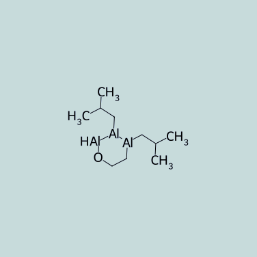 CC(C)[CH2][Al]1[CH2]C[O][AlH][Al]1[CH2]C(C)C